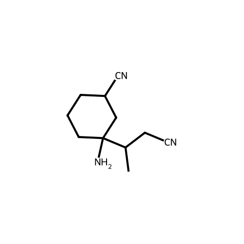 CC(CC#N)C1(N)CCCC(C#N)C1